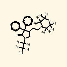 [2H]C([2H])([2H])C([2H])([2H])N1C[C@H](CCN2C([2H])([2H])C([2H])([2H])OC([2H])([2H])C2([2H])[2H])C(c2ccccc2)(c2ccccc2)C1=O